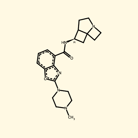 CN1CCN(c2nc3c(C(=O)N[C@@H]4CC56CCN5CCC46)cccc3o2)CC1